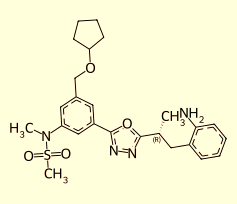 C[C@H](Cc1ccccc1N)c1nnc(-c2cc(COC3CCCC3)cc(N(C)S(C)(=O)=O)c2)o1